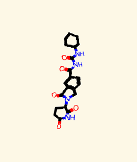 O=C1CCC(N2Cc3ccc(C(=O)NC(=O)NC4CCCCC4)cc3C2=O)C(=O)N1